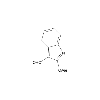 COC1=NC2=CC=CCC2=C1C=O